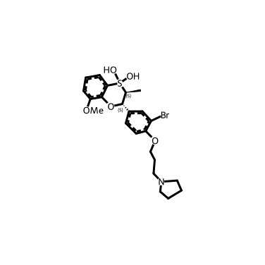 COc1cccc2c1O[C@@H](c1ccc(OCCCN3CCCC3)c(Br)c1)[C@H](C)S2(O)O